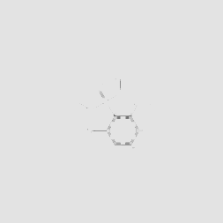 CCOP(=O)(OCC)c1c(C)cccc1N